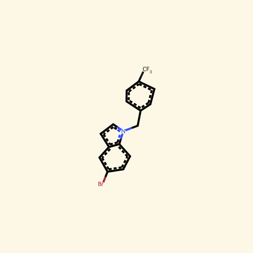 FC(F)(F)c1ccc(Cn2ccc3cc(Br)ccc32)cc1